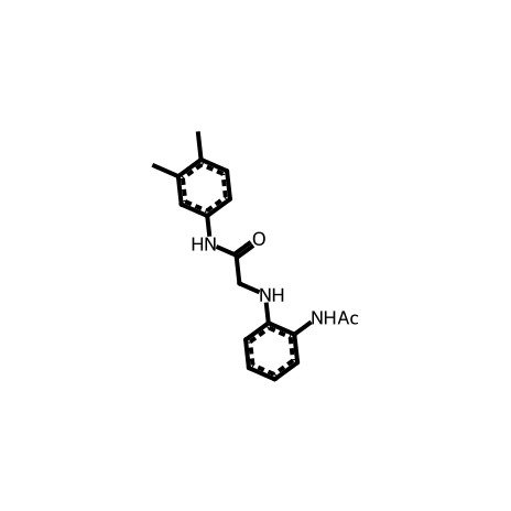 CC(=O)Nc1ccccc1NCC(=O)Nc1ccc(C)c(C)c1